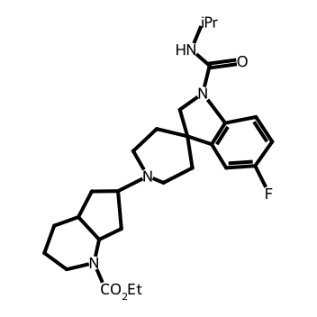 CCOC(=O)N1CCCC2CC(N3CCC4(CC3)CN(C(=O)NC(C)C)c3ccc(F)cc34)CC21